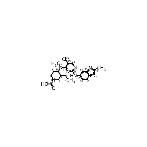 CCC1CN(C(=O)O)CCC1N(C)c1nc(Nc2ccn3cc(C)nc3c2)ncc1Cl